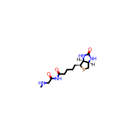 CNCC(=O)NC(=O)CCCC[C@@H]1SC[C@@H]2NC(=O)N[C@@H]21